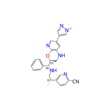 C[C@H](CN[C@H](c1ccccc1)[C@@H]1CNc2cc(-c3cnn(C)c3)cnc2O1)c1ccc(C#N)nc1